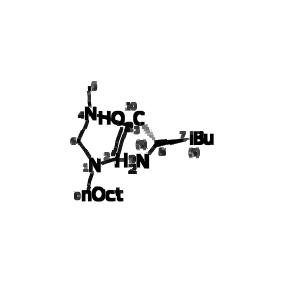 CCCCCCCCN1C=CN(C)C1.CC[C@H](C)[C@H](N)C(=O)O